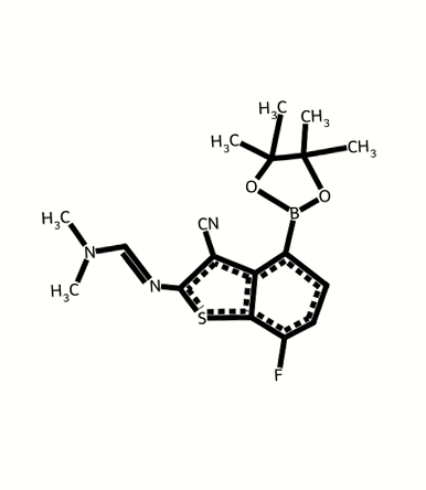 CN(C)C=Nc1sc2c(F)ccc(B3OC(C)(C)C(C)(C)O3)c2c1C#N